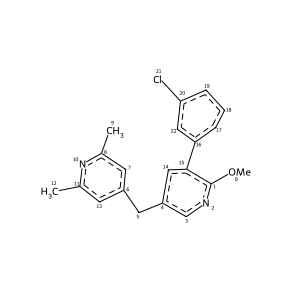 COc1ncc(Cc2cc(C)nc(C)c2)cc1-c1cccc(Cl)c1